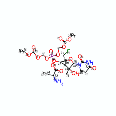 CC(C)OC(=O)OCOP(=O)(OCOC(=O)OC(C)C)OC1[C@]2(OC(=O)C(N)C(C)C)[C@@](C)(O)[C@H](n3ccc(=O)[nH]c3=O)O[C@]12CF